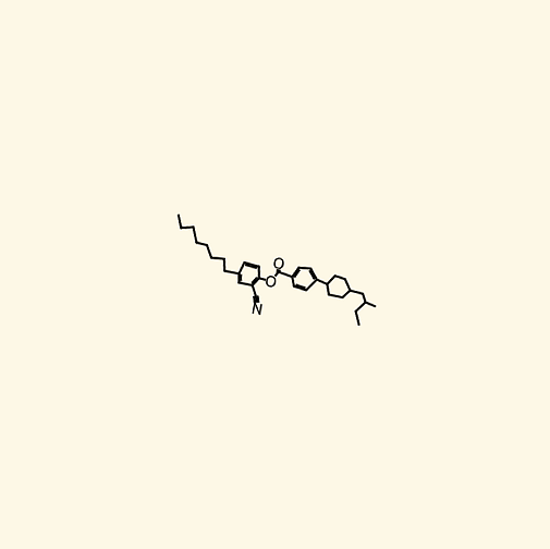 CCCCCCCCc1ccc(OC(=O)c2ccc(C3CCC(CC(C)CC)CC3)cc2)c(C#N)c1